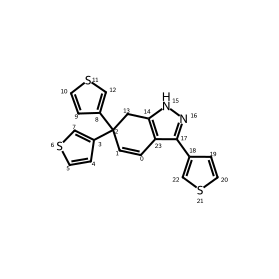 C1=CC(c2ccsc2)(c2ccsc2)Cc2[nH]nc(-c3ccsc3)c21